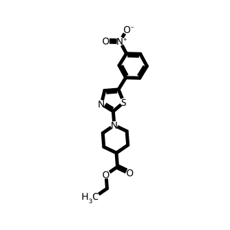 CCOC(=O)C1CCN(c2ncc(-c3cccc([N+](=O)[O-])c3)s2)CC1